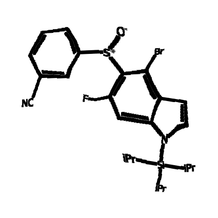 CC(C)[Si](C(C)C)(C(C)C)n1ccc2c(Br)c([S+]([O-])c3cccc(C#N)c3)c(F)cc21